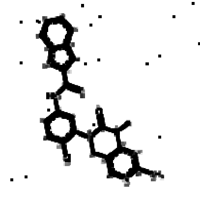 CN1C(=O)N(c2cc(NC(=O)c3cc4ccccc4s3)ccc2Cl)Cc2cnc(N)nc21